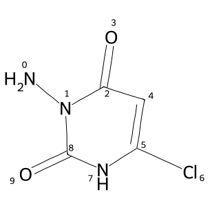 Nn1c(=O)cc(Cl)[nH]c1=O